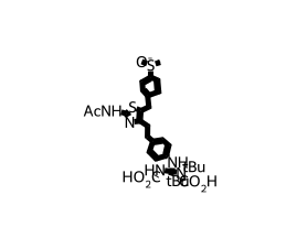 CC(=O)Nc1nc(CCc2ccc(NC(NC(=O)O)(N(C(=O)O)C(C)(C)C)C(C)(C)C)cc2)c(Cc2ccc([S+](C)[O-])cc2)s1